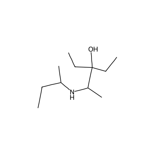 CCC(C)NC(C)C(O)(CC)CC